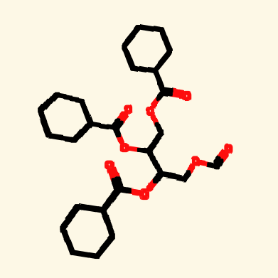 O=COCC(OC(=O)C1CCCCC1)C(COC(=O)C1CCCCC1)OC(=O)C1CCCCC1